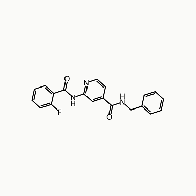 O=C(NCc1ccccc1)c1ccnc(NC(=O)c2ccccc2F)c1